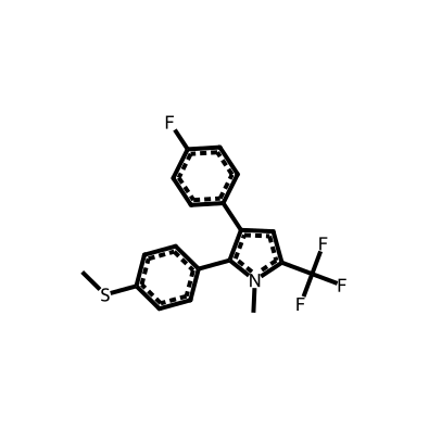 CSc1ccc(-c2c(-c3ccc(F)cc3)cc(C(F)(F)F)n2C)cc1